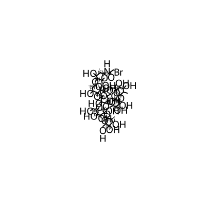 CC1C(O)[C@H](O)[C@H](CO)O[C@H]1O[C@@H]1C(O)[C@H](O)C(CO)O[C@@H]1OCC1O[C@@H](O[C@@H]2C(CO)O[C@@H](O[C@@H]3C(CO)O[C@@H](NC(=O)CBr)[C@@H](C)C3O)[C@@H](C)C2O)C(O)C(O[C@H]2O[C@H](CO)[C@@H](O)C(O)C2O[C@@H]2OC(CO)[C@@H](O)C(O)[C@@H]2C)[C@@H]1O